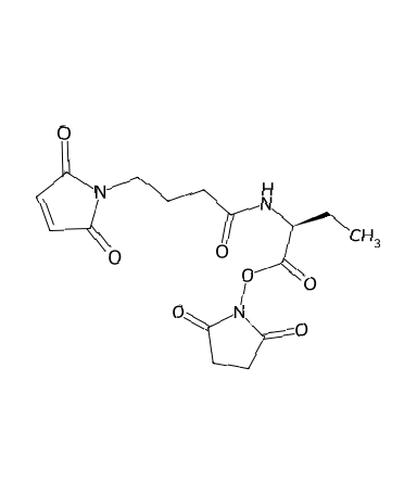 CC[C@H](NC(=O)CCCN1C(=O)C=CC1=O)C(=O)ON1C(=O)CCC1=O